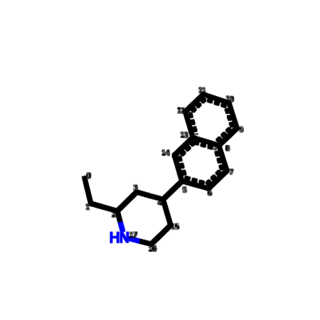 CCC1CC(c2ccc3ccccc3c2)CCN1